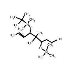 C/C=C/C(O[Si](C)(C)C(C)(C)C)C(C)(C)C(CCO)O[Si](C)(C)C